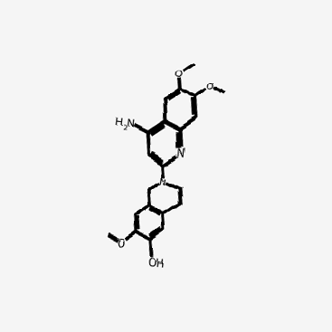 COc1cc2c(cc1O)CCN(c1cc(N)c3cc(OC)c(OC)cc3n1)C2